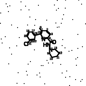 Cc1ccc(C(=O)NN2CCCCC2)nc1-c1cccc(Cl)c1